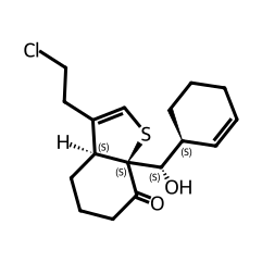 O=C1CCC[C@H]2C(CCCl)=CS[C@@]12[C@@H](O)[C@@H]1C=CCCC1